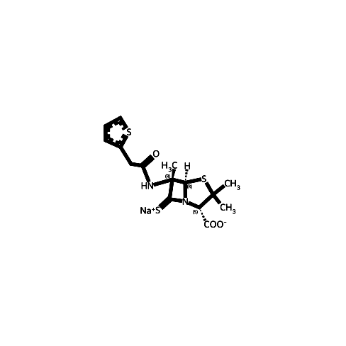 CC1(C)S[C@H]2N(C(=S)[C@]2(C)NC(=O)Cc2cccs2)[C@H]1C(=O)[O-].[Na+]